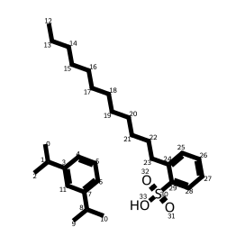 CC(C)c1cccc(C(C)C)c1.CCCCCCCCCCCCc1ccccc1S(=O)(=O)O